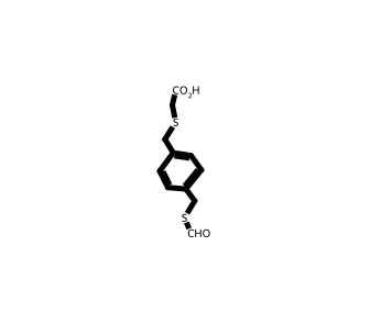 O=CSCc1ccc(CSCC(=O)O)cc1